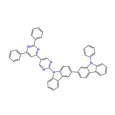 c1ccc(-c2cc(-c3cnc(-n4c5ccccc5c5cc(-c6ccc7c8ccccc8n(-c8ccccc8)c7c6)ccc54)nc3)nc(-c3ccccc3)n2)cc1